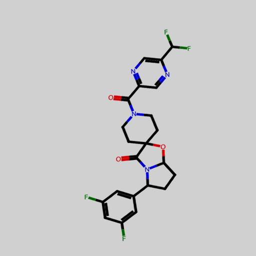 O=C(c1cnc(C(F)F)cn1)N1CCC2(CC1)OC1CCC(c3cc(F)cc(F)c3)N1C2=O